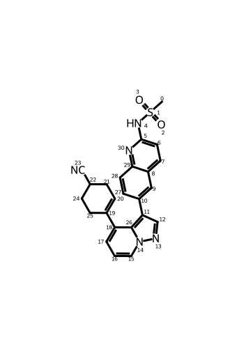 CS(=O)(=O)Nc1ccc2cc(-c3cnn4cccc(C5=CCC(C#N)CC5)c34)ccc2n1